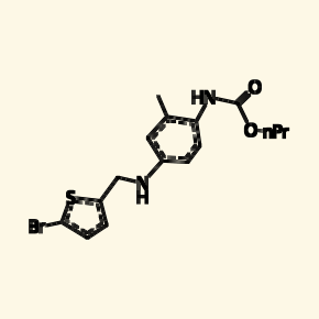 CCCOC(=O)Nc1ccc(NCc2ccc(Br)s2)cc1C